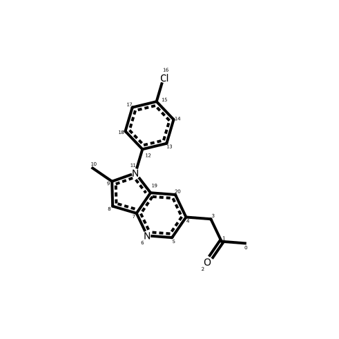 CC(=O)Cc1cnc2cc(C)n(-c3ccc(Cl)cc3)c2c1